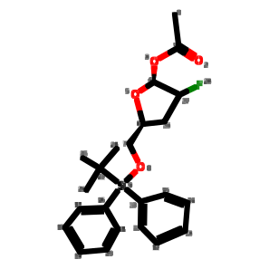 CC(=O)O[C@@H]1O[C@H](CO[Si](c2ccccc2)(c2ccccc2)C(C)(C)C)CC1F